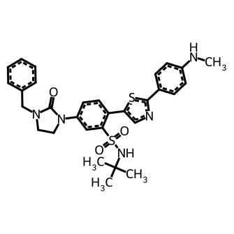 CNc1ccc(-c2ncc(-c3ccc(N4CCN(Cc5ccccc5)C4=O)cc3S(=O)(=O)NC(C)(C)C)s2)cc1